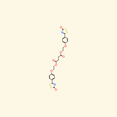 O=C(CCC(=O)OCCOc1ccc(-c2nc(=O)ss2)cc1)OCCOc1ccc(-c2nc(=O)ss2)cc1